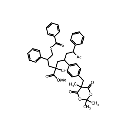 COC(=O)C(C)(CC(CSC(=S)c1ccccc1)c1ccccc1)CC(CC(C(C)=O)c1ccccc1)c1ccc(CC2(C)C(=O)OC(C)(C)OC2=O)cc1